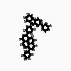 c1ccc(-c2ccc3c4ccccc4n(-c4ccc(-c5ccc6ccc7c(-c8ccccc8)ccc8ccc5c6c87)cc4)c3c2)cc1